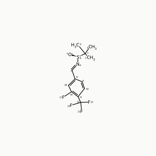 CC(C)(C)[S@+]([O-])N=Cc1ccc(C(F)(F)F)c(F)c1